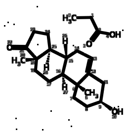 CCC(=O)O.C[C@]12CC[C@H](O)CC1=CC[C@@H]1[C@@H]2CC[C@]2(C)C(=O)CC[C@@H]12